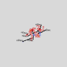 CCCCCC/C=C\CCCCCCCC(=O)OC(CCCCCCCCCCC)CC(=O)N[C@H]1C(OC(=O)CC(CCCCCCCCCCC)OC(=O)CCCCCCCCCCC)C(OP(=O)(O)O)C(CO)O[C@H]1OCC1OC(OP(=O)(O)O)[C@@H](NC(=O)CC(O)CCCCCCCCCCC)C(OC(=O)CC(O)CCCCCCCCCCC)[C@@H]1O